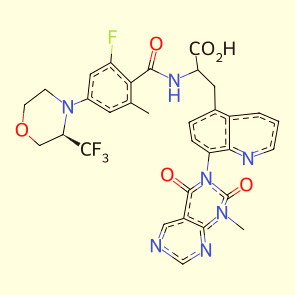 Cc1cc(N2CCOC[C@@H]2C(F)(F)F)cc(F)c1C(=O)NC(Cc1ccc(-n2c(=O)c3cncnc3n(C)c2=O)c2ncccc12)C(=O)O